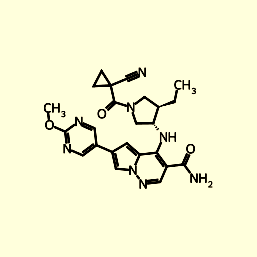 CC[C@@H]1CN(C(=O)C2(C#N)CC2)C[C@H]1Nc1c(C(N)=O)cnn2cc(-c3cnc(OC)nc3)cc12